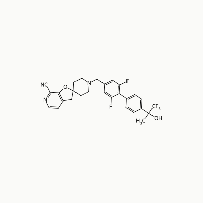 CC(O)(c1ccc(-c2c(F)cc(CN3CCC4(CC3)Cc3ccnc(C#N)c3O4)cc2F)cc1)C(F)(F)F